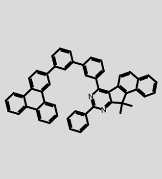 CC1(C)c2nc(-c3ccccc3)nc(-c3cccc(-c4cccc(-c5ccc6c7ccccc7c7ccccc7c6c5)c4)c3)c2-c2ccc3ccccc3c21